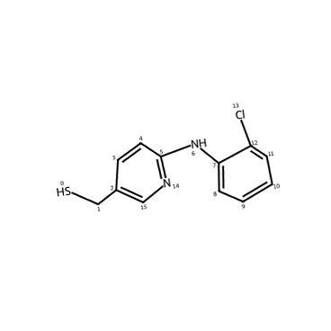 SCc1ccc(Nc2ccccc2Cl)nc1